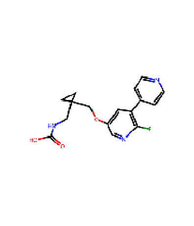 O=C(O)NCC1(COc2cnc(F)c(-c3ccncc3)c2)CC1